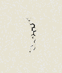 CC(C)(C)NC(=O)Nc1ccc2ncc(C3=CN(CCCN4CCN(C(=O)OC(C)(C)C)CC4)NC3)cc2n1